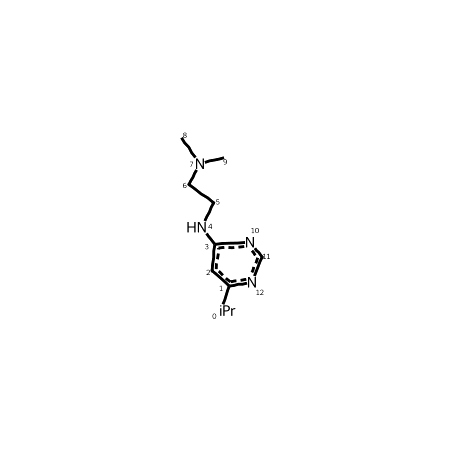 CC(C)c1cc(NCCN(C)C)ncn1